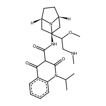 CNCC(CN1[C@@H]2CC[C@H]1C[C@H](NC(=O)C1C(=O)c3ccccc3N(C(C)C)C1=O)C2)OC